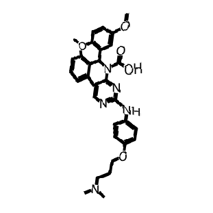 COc1ccc(OC)c(C(c2c(C)cccc2C)N(C(=O)O)c2ccnc(Nc3ccc(OCCCN(C)C)cc3)n2)c1